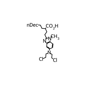 CCCCCCCCCCCCC(CCc1nc2cc(N(CCCl)CCCl)ccc2n1C)C(=O)O